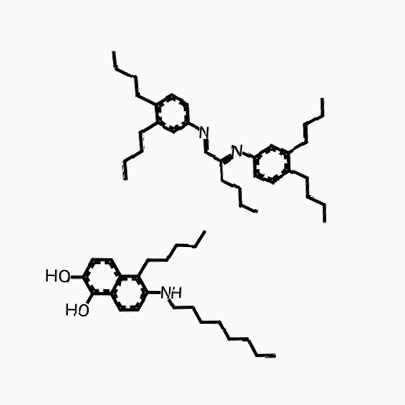 CCCCC(C=Nc1ccc(CCCC)c(CCCC)c1)=Nc1ccc(CCCC)c(CCCC)c1.CCCCCCCCNc1ccc2c(O)c(O)ccc2c1CCCCC